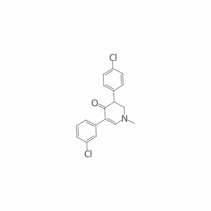 CN1C=C(c2cccc(Cl)c2)C(=O)C(c2ccc(Cl)cc2)C1